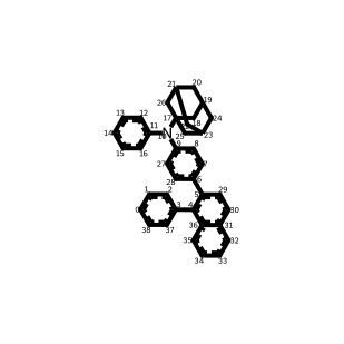 c1ccc(-c2c(-c3ccc(N(c4ccccc4)C45CC6CC(CC(C6)C4)C5)cc3)ccc3ccccc23)cc1